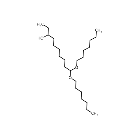 CCCCCCCOC(CCCCCCC(O)CC)OCCCCCCC